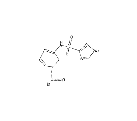 O=C(O)C1C=CC=C(NS(=O)(=O)c2c[nH]cn2)C1